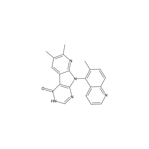 Cc1cc2c3c(=O)[nH]cnc3n(-c3c(C)ccc4ncccc34)c2nc1C